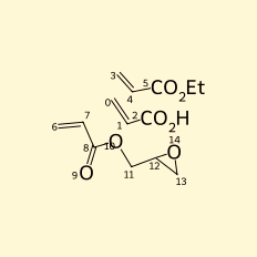 C=CC(=O)O.C=CC(=O)OCC.C=CC(=O)OCC1CO1